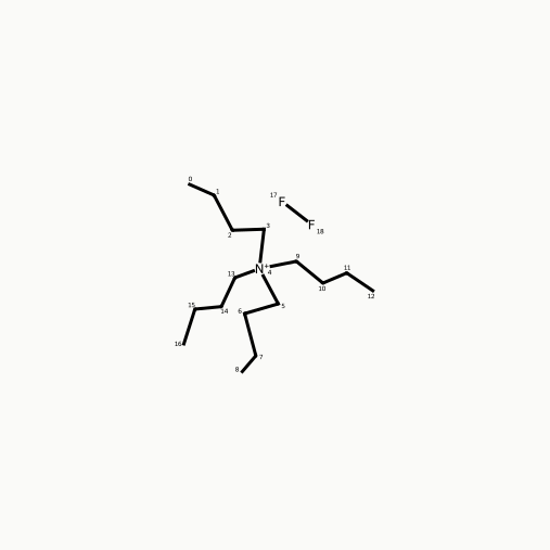 CCCC[N+](CCCC)(CCCC)CCCC.FF